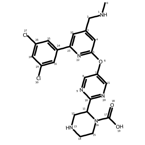 CNCc1cc(Oc2cnc(C3CNCCN3C(=O)O)nc2)nc(-c2cc(Cl)cc(Cl)c2)c1